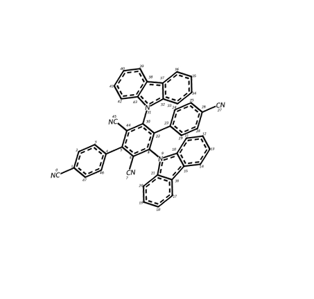 N#Cc1ccc(-c2c(C#N)c(-n3c4ccccc4c4ccccc43)c(-c3ccc(C#N)cc3)c(-n3c4ccccc4c4ccccc43)c2C#N)cc1